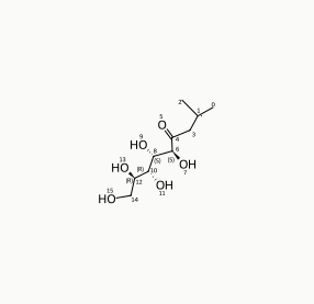 C[C](C)CC(=O)[C@@H](O)[C@@H](O)[C@H](O)[C@H](O)CO